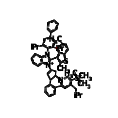 Cc1ccc2sc(C)c(-c3n(-c4c(C(C)C)cc(-c5ccccc5)cc4C(C)C)c4ccccc4[n+]3C3=CC4c5ccccc5-c5cc(CC(C)C)c([Si](C)(C)C)c[n+]5C4C3)c2c1